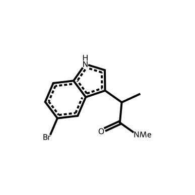 CNC(=O)C(C)c1c[nH]c2ccc(Br)cc12